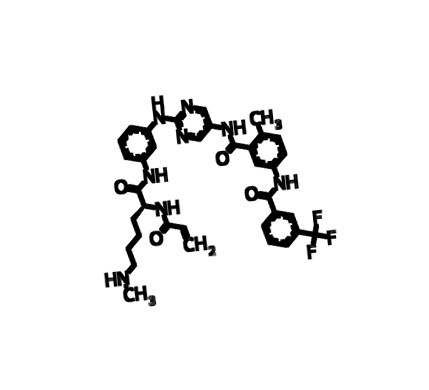 C=CC(=O)N[C@@H](CCCCNC)C(=O)Nc1cccc(Nc2ncc(NC(=O)c3cc(NC(=O)c4cccc(C(F)(F)F)c4)ccc3C)cn2)c1